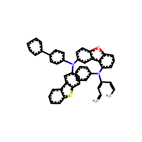 C=C/C=C(\C=C/C)N(c1ccccc1)c1cccc2oc3ccc(N(c4ccc(-c5ccccc5)cc4)c4ccc5sc6ccccc6c5c4)cc3c12